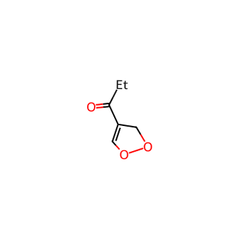 CCC(=O)C1=COOC1